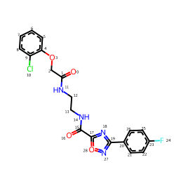 O=C(COc1ccccc1Cl)NCCNC(=O)c1nc(-c2ccc(F)cc2)no1